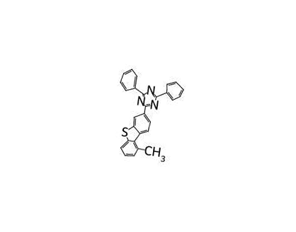 Cc1cccc2sc3cc(-c4nc(-c5ccccc5)nc(-c5ccccc5)n4)ccc3c12